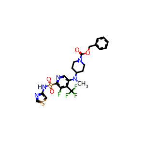 CN(c1cnc(S(=O)(=O)Nc2cscn2)c(F)c1C(F)(F)F)C1CCN(C(=O)OCc2ccccc2)CC1